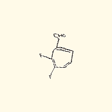 O=Cc1cc[c]c(F)c1F